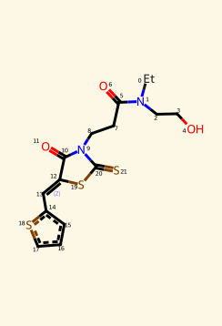 CCN(CCO)C(=O)CCN1C(=O)/C(=C/c2cccs2)SC1=S